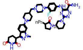 CCCC1CCN([C@@H]2CCCN(c3nnc(C(N)=O)c(Nc4ccc(N5CCN(CC6CCN(c7ccc8c(C9CCC(=O)NC9=O)nn(C)c8c7)CC6)CC5)c(F)c4)n3)C2)C1=O